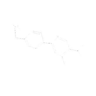 CCc1cc(-c2ccc(CN)cc2)ccc1C(CC)C(=O)O